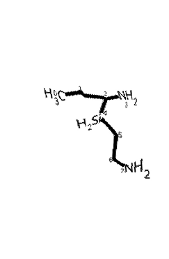 CCC(N)[SiH2]CCN